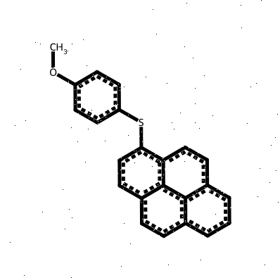 COc1ccc(Sc2ccc3ccc4cccc5ccc2c3c45)cc1